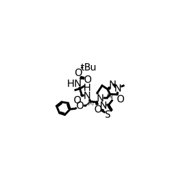 CN1N=C2CCN(C(=O)[C@@H](COCc3ccccc3)NC(=O)C(C)(C)NC(=O)OC(C)(C)C)C[C@]2(Cc2cscn2)C1=O